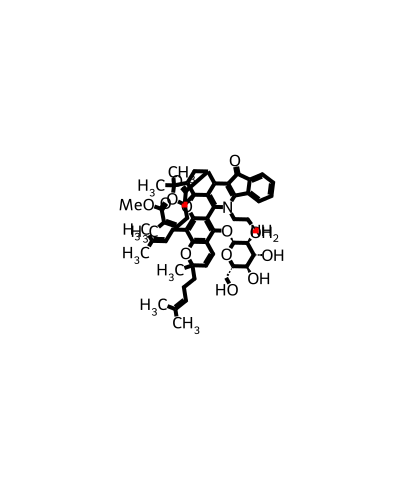 COC(=O)/C(C)=C\CC12OC(C)(C)C3CC(C1=O)C1C4=C(c5ccccc5C4=O)N(CCN)C4=C1C32Oc1c(CC=C(C)C)c2c(c(O[C@H]3O[C@@H](CO)[C@H](O)[C@@H](O)[C@@H]3O)c14)C=CC(C)(CCC=C(C)C)O2